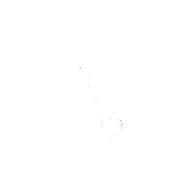 NC(=O)NCCCC1CC2C=CC1C2